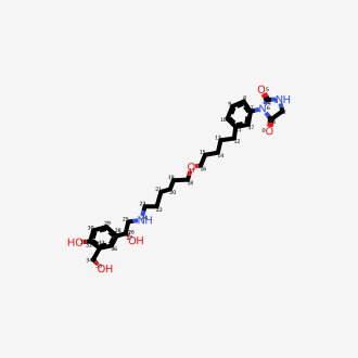 O=C1CNC(=O)N1c1cccc(CCCCCOCCCCCCNC[C@@H](O)c2ccc(O)c(CO)c2)c1